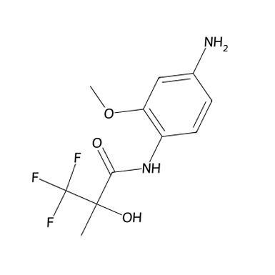 COc1cc(N)ccc1NC(=O)C(C)(O)C(F)(F)F